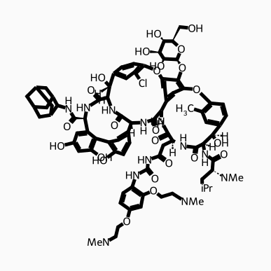 CNCCOc1ccc(NC(=O)NC(=O)C[C@@H]2NC(=O)[C@H](NC(=O)[C@@H](CC(C)C)NC)[C@H](O)c3ccc(c(C)c3)Oc3cc4cc(c3O[C@@H]3O[C@H](CO)[C@@H](O)[C@H](O)[C@H]3O)Oc3ccc(cc3Cl)[C@@H](O)[C@@H]3NC(=O)[C@H](NC(=O)[C@@H]4NC2=O)c2ccc(O)c(c2)-c2c(O)cc(O)cc2[C@@H](C(=O)NC2C4CC5CC(C4)CC2C5)NC3=O)c(OCCNC)c1